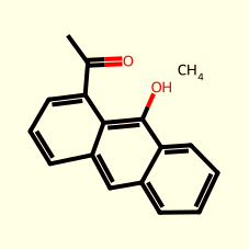 C.CC(=O)c1cccc2cc3ccccc3c(O)c12